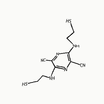 N#Cc1nc(NCCS)c(C#N)nc1NCCS